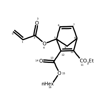 C=CC(=O)OC12C=CC(C1)C(C(=O)OCC)=C2C(=O)OCCCCCC